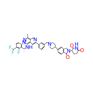 Cc1nnc(N[C@H](C)c2cccc(C(F)F)c2F)c2cc(-c3cccc(CN4CCC(c5ccc6c(c5)CN(C5CCC(=O)NC5=O)C6=O)CC4)c3)ncc12